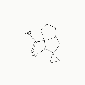 CC1C2(CC2)CN2CCCC12C(=O)O